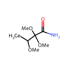 CO[CH]([GeH3])C(OC)(OC)C(N)=O